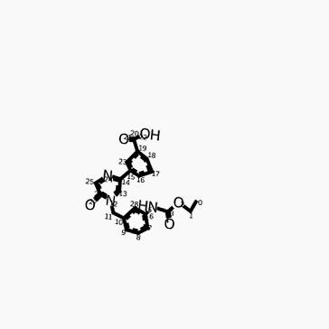 CCOC(=O)Nc1cccc(Cn2cc(-c3cccc(C(=O)O)c3)ncc2=O)c1